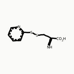 N=C(CSSc1ccccn1)C(=O)O